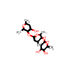 COC1CC(OC2C(O)CC(C)OC2C)OC(C)C1OC1CC(O)C(O)C(C)O1